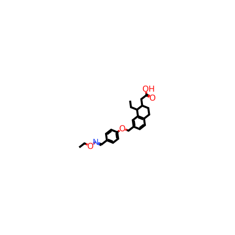 CCON=Cc1ccc(OCc2ccc3c(c2)C(CC)C(CC(=O)O)CC3)cc1